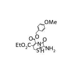 CCOC(=O)C1=C(C(=O)OCc2ccc(OC)cc2)N2C(=O)C(N)[C@@H]2SC1